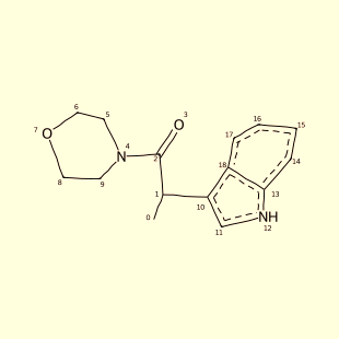 CC(C(=O)N1CCOCC1)c1c[nH]c2ccccc12